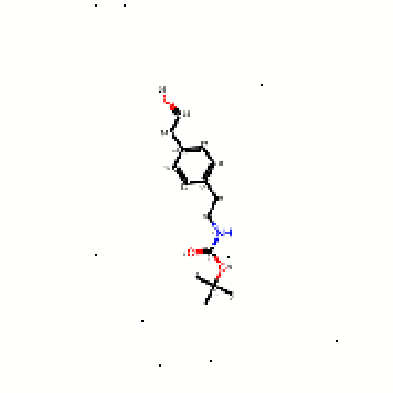 CC(C)(C)OC(=O)NCCc1ccc(CC=O)cc1